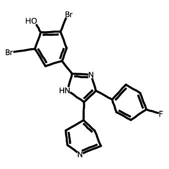 Oc1c(Br)cc(-c2nc(-c3ccc(F)cc3)c(-c3ccncc3)[nH]2)cc1Br